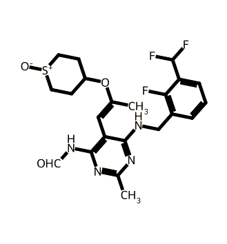 C/C(=C\c1c(NC=O)nc(C)nc1NCc1cccc(C(F)F)c1F)OC1CC[S+]([O-])CC1